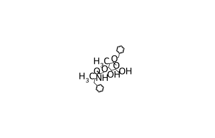 C[C@@H](Cc1ccccc1)NC(=O)COC1[C@H](O)C(CO)O[C@H](OCc2ccccc2)[C@H]1C